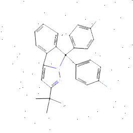 CC(C)(C)c1cc2n(n1)C(c1ccc(Br)cc1)(c1ccc(Br)cc1)c1ccccc1-2